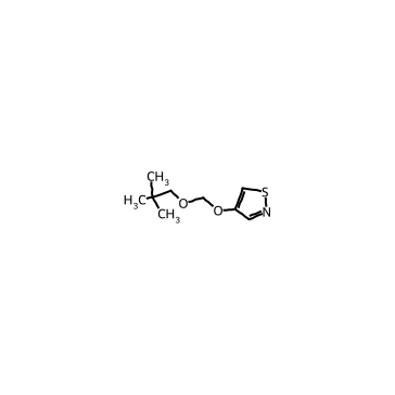 CC(C)(C)COCOc1cnsc1